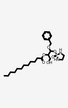 CCCCCCCCCCCC(=O)OC(CO)C(OCc1ccccc1)OP1(=O)NCCN1